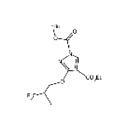 CCOC(=O)c1cn(C(=O)OC(C)(C)C)nc1OCC(C)C(F)(F)F